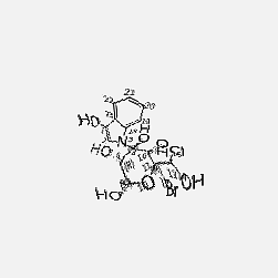 Oc1cn([C@@]2(O)[C@@H](O)[C@@H](O)O[C@](Br)(C(O)Cl)[C@H]2O)c2ccccc12